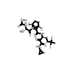 COC(=O)N[C@H](C(=O)N1C(C(=O)N[C@@H](CCC(C)(F)F)C(=O)C(=O)NC2CC2)[C@H]2CC[C@@H]1C2)C(C)(C)C